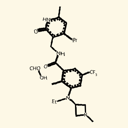 CCN(c1cc(C(F)(F)F)cc(C(=O)NCc2c(C(C)C)cc(C)[nH]c2=O)c1C)C1CN(C)C1.O=CO